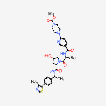 Cc1ncsc1-c1ccc(C(C)NC(=O)[C@@H]2C[C@@H](O)CN2C(=O)C(NC(=O)c2ccc(N3CCN(C(=O)OC(C)(C)C)CC3)nc2)C(C)(C)C)cc1